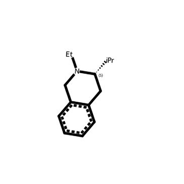 CCN1Cc2ccccc2C[C@H]1C(C)C